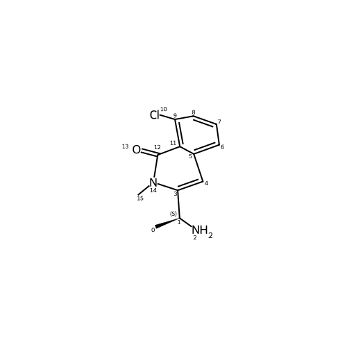 C[C@H](N)c1cc2cccc(Cl)c2c(=O)n1C